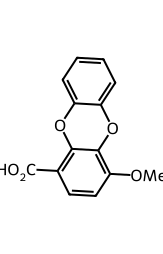 COc1ccc(C(=O)O)c2c1Oc1ccccc1O2